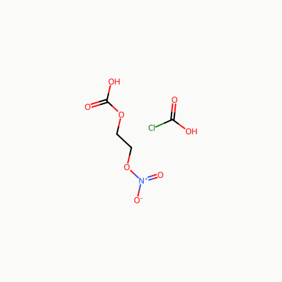 O=C(O)Cl.O=C(O)OCCO[N+](=O)[O-]